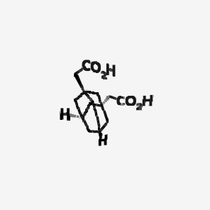 O=C(O)C[C@]12C[C@H]3C[C@H](C[C@](CC(=O)O)(C3)C1)C2